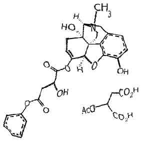 CC(=O)OC(CC(=O)O)C(=O)O.CN1CC[C@]23c4c5ccc(O)c4O[C@H]2C(OC(=O)C(O)CC(=O)Oc2ccccc2)=CC[C@@]3(O)[C@H]1C5